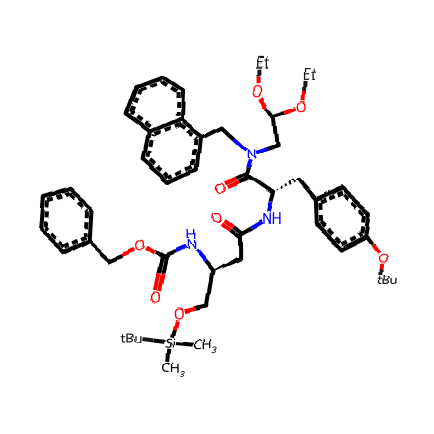 CCOC(CN(Cc1cccc2ccccc12)C(=O)[C@H](Cc1ccc(OC(C)(C)C)cc1)NC(=O)C[C@@H](CO[Si](C)(C)C(C)(C)C)NC(=O)OCc1ccccc1)OCC